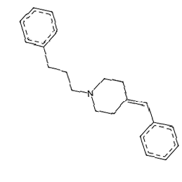 C(=C1CCN(CCCc2ccccc2)CC1)c1ccccc1